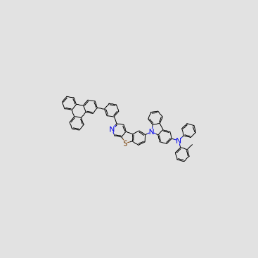 Cc1ccccc1N(c1ccccc1)c1ccc2c(c1)c1ccccc1n2-c1ccc2sc3cnc(-c4cccc(-c5ccc6c7ccccc7c7ccccc7c6c5)c4)cc3c2c1